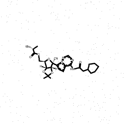 C[C@H](C(=O)OC[C@H]1O[C@@](C#N)(c2ccc3c(NC(=O)CC4CCCCC4)ncnn23)[C@@H]2OC(C)(C)O[C@@H]21)C(C)(C)C